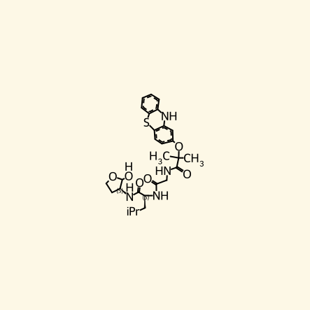 CC(C)C[C@H](NC(=O)CNC(=O)C(C)(C)Oc1ccc2c(c1)Nc1ccccc1S2)C(=O)N[C@H]1CCOC1O